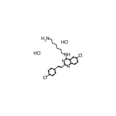 Cl.Cl.NCCCCCCNc1nc(/C=C/c2ccc(Cl)cc2)nc2ccc(Cl)cc12